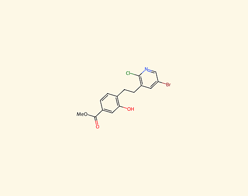 COC(=O)c1ccc(CCc2cc(Br)cnc2Cl)c(O)c1